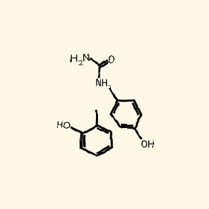 Cc1ccc(O)cc1.Cc1ccccc1O.NC(N)=O